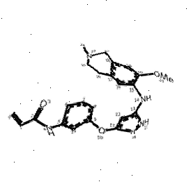 C=CC(=O)Nc1cccc(Oc2cc(Nc3cc4c(cc3OC)CN(C)CC4)[nH]n2)c1